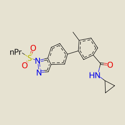 CCCS(=O)(=O)n1ncc2cc(-c3cc(C(=O)NC4CC4)ccc3C)ccc21